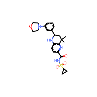 CC1(C)CC(c2cccc(N3CCOCC3)c2)Nc2ccc(C(=O)NS(=O)(=O)C3CC3)nc21